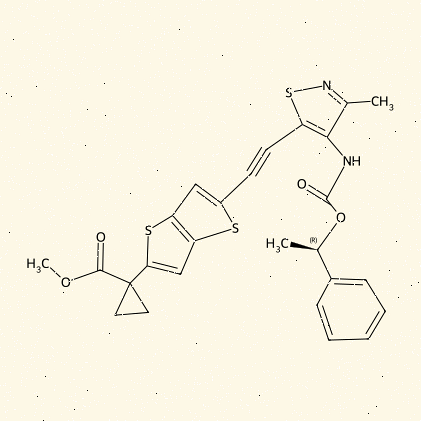 COC(=O)C1(c2cc3sc(C#Cc4snc(C)c4NC(=O)O[C@H](C)c4ccccc4)cc3s2)CC1